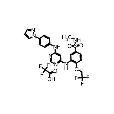 CNS(=O)(=O)c1ccc(OCC(F)(F)F)c(Nc2cc(Nc3ccc(-n4cccn4)cc3)ncn2)c1.O=C(O)C(F)(F)F